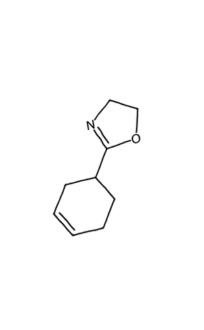 C1=CCC(C2=NCCO2)CC1